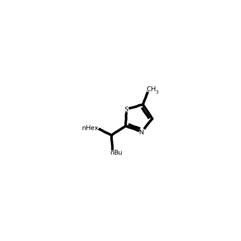 CCCCCCC(CCCC)c1ncc(C)s1